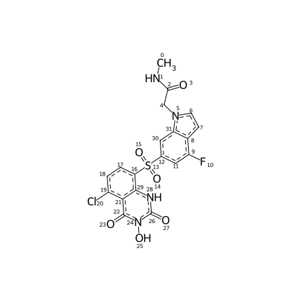 CNC(=O)Cn1ccc2c(F)cc(S(=O)(=O)c3ccc(Cl)c4c(=O)n(O)c(=O)[nH]c34)cc21